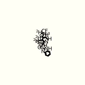 [2H]c1nc(C([2H])([2H])[S+]([O-])c2nc3ccccc3[nH]2)c(C([2H])([2H])[2H])c(OC([2H])([2H])C(F)(F)F)c1[2H]